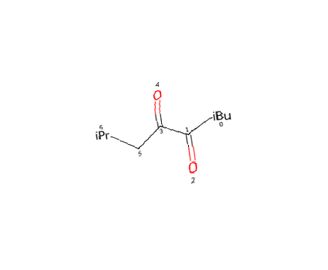 CCC(C)C(=O)C(=O)CC(C)C